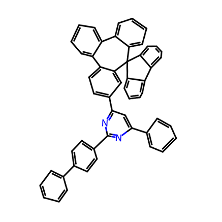 c1ccc(-c2ccc(-c3nc(-c4ccccc4)cc(-c4ccc5c(c4)C4(c6ccccc6-c6ccccc6-5)c5ccccc5-c5ccccc54)n3)cc2)cc1